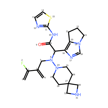 C=C(F)C(=C)CN(C(C(=O)Nc1nccs1)c1ncn2c1CCC2)N1CCC2(CC1)CNC2